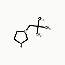 CC(C)(C)CN1CCNC1